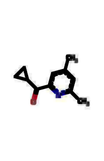 Cc1cc(C)nc(C(=O)C2CC2)c1